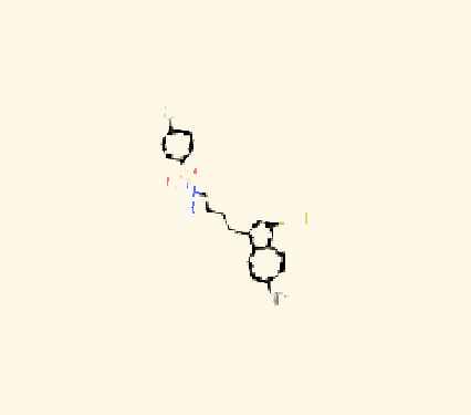 CC(C)c1ccc2c(S)cc(CCCCNS(=O)(=O)c3ccc(Cl)cc3)c-2cc1